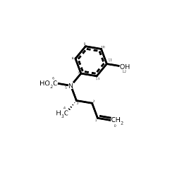 C=CC[C@H](C)N(C(=O)O)c1cccc(O)c1